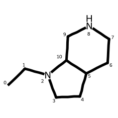 CCN1CCC2CCNCC21